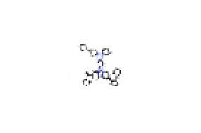 CC1(C)c2ccccc2-c2cc3c4cc5c6ccccc6c6ccccc6c5cc4n(-c4ccc(N(c5ccccc5)c5ccc(-c6ccccc6)cc5)cc4)c3cc21